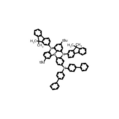 CC(C)(C)c1ccc2c(c1)B1c3ccc(N(c4ccc(-c5ccccc5)cc4)c4ccc(-c5ccccc5)cc4)cc3N(c3ccc4c(c3)C(C)(C)c3ccccc3-4)c3cc(C(C)(C)C)cc(c31)N2c1ccc2c(c1)C(C)(C)c1ccccc1-2